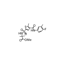 COC(=O)C(C)(C)NS(=O)(=O)c1cc(C(=O)Nc2ccc(F)c(C)c2)c(C)s1